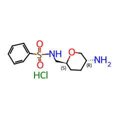 Cl.N[C@@H]1CC[C@@H](CNS(=O)(=O)c2ccccc2)OC1